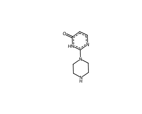 O=c1ccnc(N2CCNCC2)[nH]1